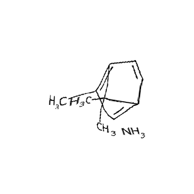 CC1=C2C=CC(=C1)C2(C)C.N